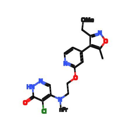 CCCN(CCOc1cc(-c2c(COC)noc2C)ccn1)c1cn[nH]c(=O)c1Cl